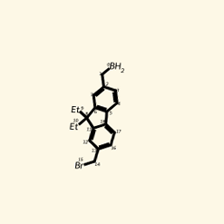 BCc1ccc2c(c1)C(CC)(CC)c1cc(CBr)ccc1-2